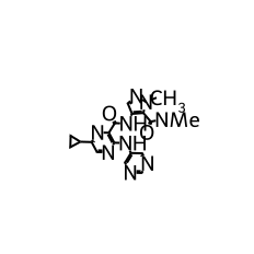 CNC(=O)c1c(NC(=O)c2nc(C3CC3)cnc2Nc2cncnc2)cnn1C